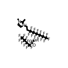 Cc1n(C)cc[n+]1CCC(F)(F)C(F)(F)C(F)(F)C(F)(F)C(F)(F)C(F)(F)F.O=S(=O)(O)C(F)(F)C(F)(F)C(F)(F)C(F)(F)F